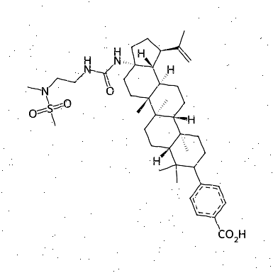 C=C(C)[C@@H]1CC[C@]2(NC(=O)NCCN(C)S(C)(=O)=O)CC[C@]3(C)[C@H](CC[C@@H]4[C@@]5(C)CCC(c6ccc(C(=O)O)cc6)C(C)(C)[C@@H]5CC[C@]43C)[C@@H]12